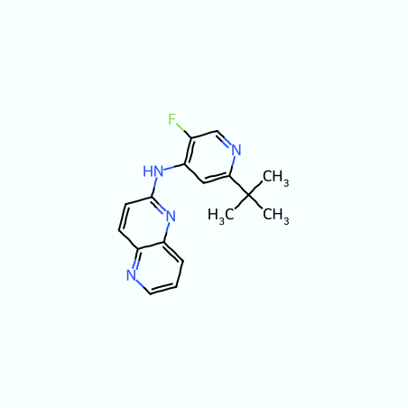 CC(C)(C)c1cc(Nc2ccc3ncccc3n2)c(F)cn1